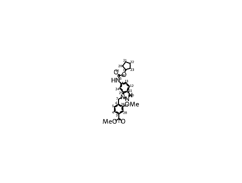 COC(=O)c1ccc(Cn2nnc3ccc(NC(=O)OC4CCCC4)cc32)c(OC)c1